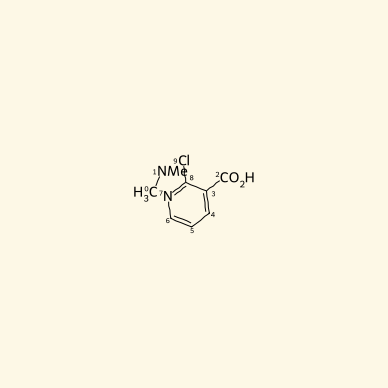 CNC.O=C(O)c1cccnc1Cl